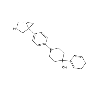 OC1(C2=CCCC=C2)CCN(c2ccc(C34CNCC3C4)cc2)CC1